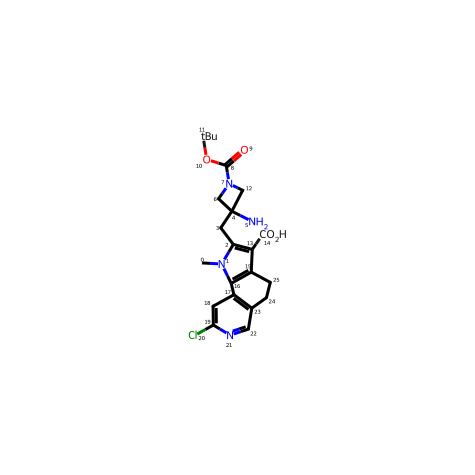 Cn1c(CC2(N)CN(C(=O)OC(C)(C)C)C2)c(C(=O)O)c2c1-c1cc(Cl)ncc1CC2